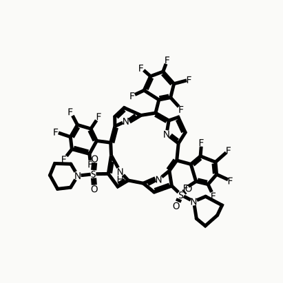 O=S(=O)(C1=CC2=NC1=C(c1c(F)c(F)c(F)c(F)c1F)C1=NC(=C(c3c(F)c(F)c(F)c(F)c3F)C3=NC(=C(c4c(F)c(F)c(F)c(F)c4F)c4[nH]c2cc4S(=O)(=O)N2CCCCC2)C=C3)C=C1)N1CCCCC1